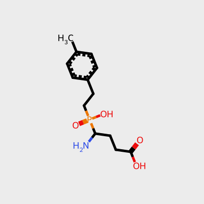 Cc1ccc(CCP(=O)(O)C(N)CCC(=O)O)cc1